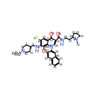 CCCCN1CCC(CNc2c(F)cc3c(=O)c(C(=O)NCCC4CCCN4C)cn4c3c2Oc2cc3ccccc3cc2-4)CC1